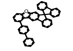 c1ccc(-c2ccc(-c3cccc4oc5cc6c(cc5c34)-c3ccccc3C63c4ccccc4-c4ccccc43)cc2)cc1